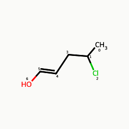 CC(Cl)CC=CO